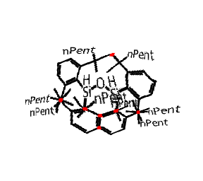 CCCCCC(C)(C)c1cccc(C(C)(C)CCCCC)c1[SiH](O[SiH](c1c(C(C)(C)CCCCC)cccc1C(C)(C)CCCCC)c1c(C(C)(C)CCCCC)cccc1C(C)(C)CCCCC)c1c(C(C)(C)CCCCC)cccc1C(C)(C)CCCCC